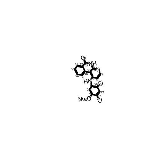 COc1cc(Nc2ccnc3[nH]c(=O)c4ccccc4c23)c(Cl)cc1Cl